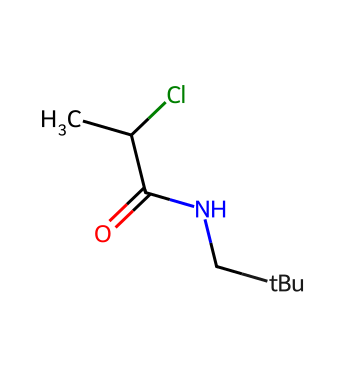 CC(Cl)C(=O)NCC(C)(C)C